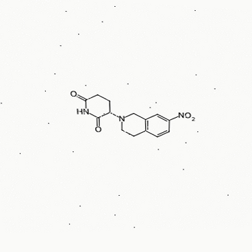 O=C1CCC(N2CCc3ccc([N+](=O)[O-])cc3C2)C(=O)N1